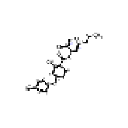 C/C=C(/Cl)N(/C=C/CCC)CC(=O)c1ccc(Oc2ccc(Br)cc2)cc1Cl